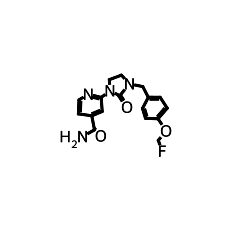 NC(=O)c1ccnc(N2CCN(Cc3ccc(OCF)cc3)C2=O)c1